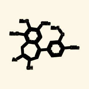 COc1ccc(C2=CC(O)=C(C(C)=O)Cc3c2cc(OC)c(OC)c3OC)cc1OSC